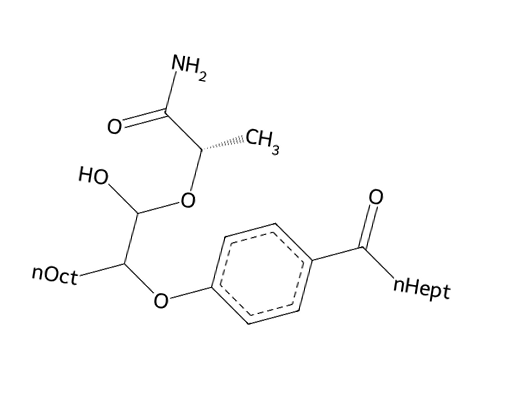 CCCCCCCCC(Oc1ccc(C(=O)CCCCCCC)cc1)C(O)O[C@@H](C)C(N)=O